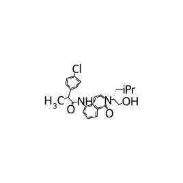 CC(C)C[C@H](CO)n1ccc2c(NC(=O)C(C)c3ccc(Cl)cc3)cccc2c1=O